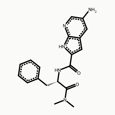 CN(C)C(=O)[C@H](Cc1ccccc1)NC(=O)c1cc2cc(N)cnc2[nH]1